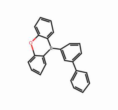 c1ccc(-c2cccc(B3c4ccccc4Oc4ccccc43)c2)cc1